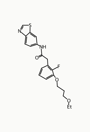 CCOCCCOc1cccc(CC(=O)Nc2ccc3ncsc3c2)c1F